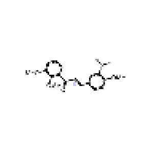 COc1ccc(/C=C/C(=O)c2cccc(OC)c2OC)cc1N(C)C